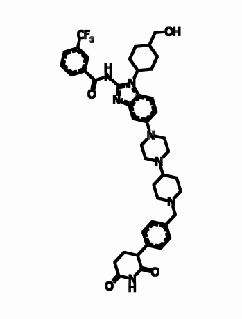 O=C1CCC(c2ccc(CN3CCC(N4CCN(c5ccc6c(c5)nc(NC(=O)c5cccc(C(F)(F)F)c5)n6C5CCC(CO)CC5)CC4)CC3)cc2)C(=O)N1